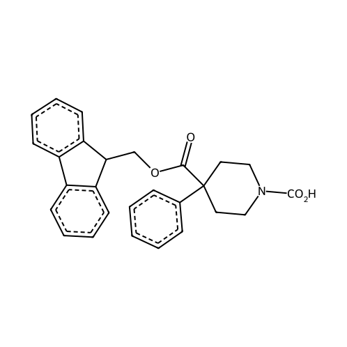 O=C(O)N1CCC(C(=O)OCC2c3ccccc3-c3ccccc32)(c2ccccc2)CC1